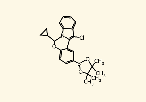 CC1(C)OB(c2ccc3c(c2)-c2c(Cl)c4ccccc4n2C(C2CC2)O3)OC1(C)C